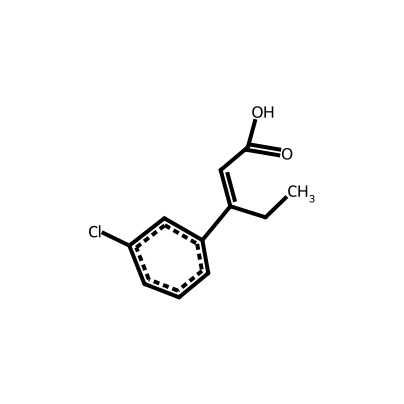 CCC(=CC(=O)O)c1cccc(Cl)c1